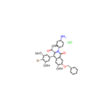 COC(=O)c1c(-c2cc(OC)c(Br)c(OC)c2)c2cc(OC)c(OCc3ccccc3)cc2c(=O)n1-c1ccc(N)cc1.Cl